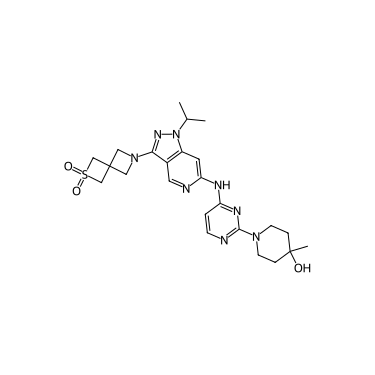 CC(C)n1nc(N2CC3(C2)CS(=O)(=O)C3)c2cnc(Nc3ccnc(N4CCC(C)(O)CC4)n3)cc21